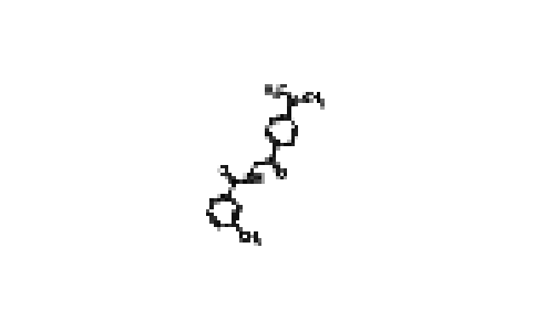 Cc1cccc(C(=O)NCC(=O)c2ccc(N(C)C)cc2)c1